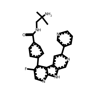 CC(C)(N)CNC(=O)c1ccc(-c2c(F)cnc3[nH]c4cnc(-c5cccnc5)cc4c23)cc1